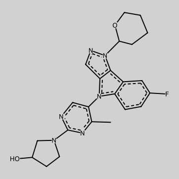 Cc1nc(N2CCC(O)C2)ncc1-n1c2ccc(F)cc2c2c1cnn2C1CCCCO1